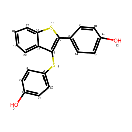 Oc1ccc(Sc2c(-c3ccc(O)cc3)sc3ccccc23)cc1